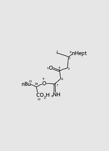 CCCCCCCC(C)CC(=O)CC(=N)OC(CCCC)C(=O)O